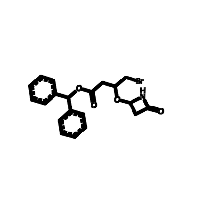 O=C1CC(OC(CBr)CC(=O)OC(c2ccccc2)c2ccccc2)N1